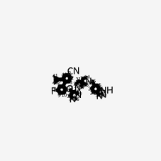 N#Cc1ccc(-c2cc(F)ccc2Oc2cncnc2N2CCC3(CCN(Cc4ccc5nn[nH]c5c4)C3)C2)c(C2CC2)c1